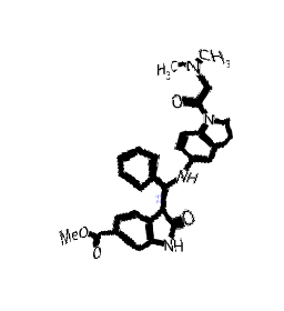 COC(=O)c1ccc2c(c1)NC(=O)/C2=C(\Nc1ccc2c(c1)CCN2C(=O)CN(C)C)c1ccccc1